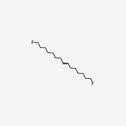 FCCCCCCC=CCCCCCCCF